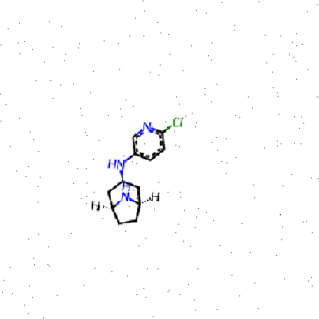 Clc1ccc(N[C@H]2C[C@H]3CC[C@@H](C2)N3)cn1